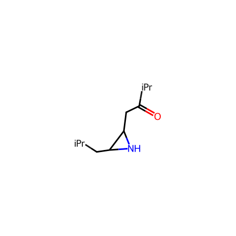 CC(C)CC1NC1CC(=O)C(C)C